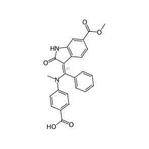 COC(=O)c1ccc2c(c1)NC(=O)/C2=C(/c1ccccc1)N(C)c1ccc(C(=O)O)cc1